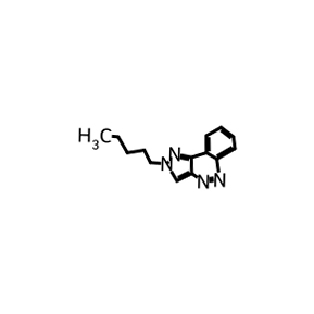 CCCCCn1cc2nnc3ccccc3c2n1